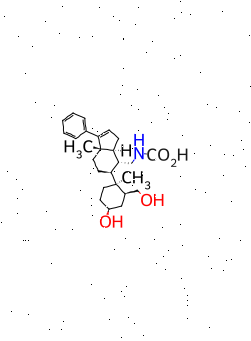 C[C@@]1([C@H]2CC[C@]3(C)C(c4ccccc4)=CC[C@H]3[C@@H]2CNC(=O)O)CC[C@H](O)C[C@@H]1CO